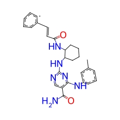 Cc1cccc(Nc2nc(NC3CCCCC3NC(=O)C=Cc3[c]cccc3)ncc2C(N)=O)c1